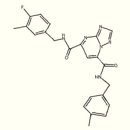 Cc1ccc(CNC(=O)c2cc(C(=O)NCc3ccc(F)c(C)c3)nc3ncnn23)cc1